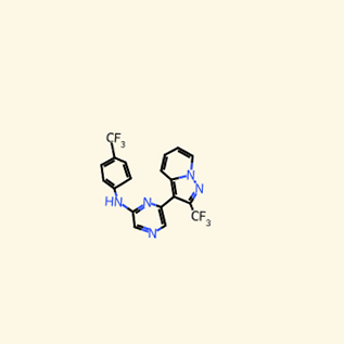 FC(F)(F)c1ccc(Nc2cncc(-c3c(C(F)(F)F)nn4ccccc34)n2)cc1